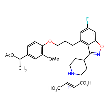 COc1cc(C(C)OC(C)=O)ccc1OCCCc1cc(F)cc2onc(C3CCNCC3)c12.O=C(O)/C=C/C(=O)O